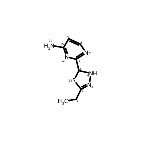 CCC1=NNC(c2nccc(N)n2)S1